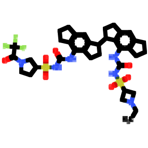 CCN1CC(S(=O)(=O)NC(=O)Nc2c3c(cc4c2C(C2CCc5c2cc2c(c5NC(=O)NS(=O)(=O)C5CCN(C(=O)C(F)(F)F)C5)CCC2)CC4)CCC3)C1